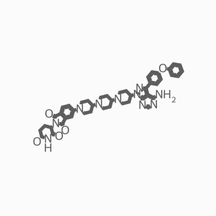 Nc1ncnc2c1c(-c1ccc(Oc3ccccc3)cc1)nn2C1CCN(C2CCN(C3CCN(c4ccc5c(c4)C(=O)N(C4CCC(=O)NC4=O)C5=O)CC3)CC2)CC1